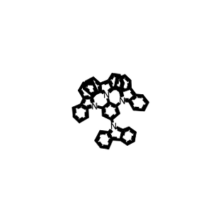 c1ccc2c(c1)c1ccccc1n2-c1cc(-n2c3ccccc3c3ccccc32)c(-n2c3ccccc3c3ccccc32)c(-n2c3ccccc3c3ccccc32)c1